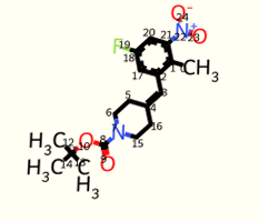 Cc1c(C=C2CCN(C(=O)OC(C)(C)C)CC2)cc(F)cc1[N+](=O)[O-]